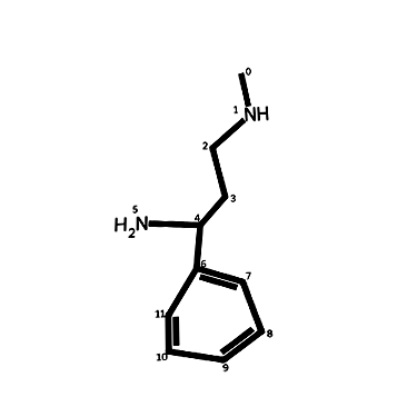 CNCCC(N)c1ccccc1